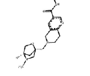 CN1C[C@@]2(CN3CCc4ncc(C(=O)NO)cc4C3)C[C@@H]1CO2